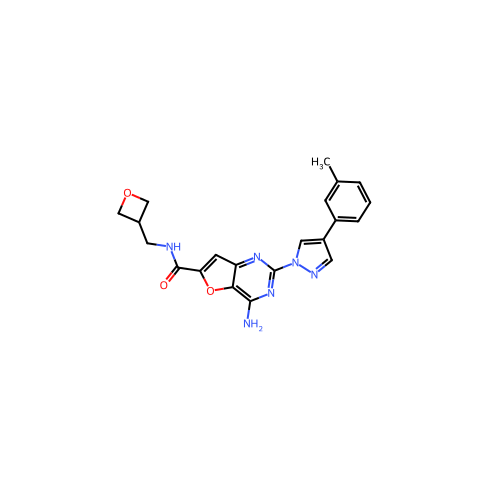 Cc1cccc(-c2cnn(-c3nc(N)c4oc(C(=O)NCC5COC5)cc4n3)c2)c1